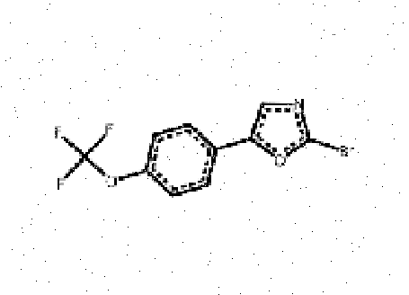 FC(F)(F)Oc1ccc(-c2cnc(Br)o2)cc1